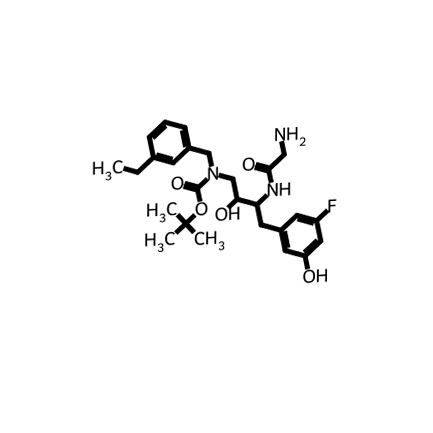 CCc1cccc(CN(CC(O)C(Cc2cc(O)cc(F)c2)NC(=O)CN)C(=O)OC(C)(C)C)c1